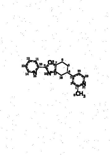 Cc1cc(C2CCc3oc(-c4ccccn4)nc3C2)ccn1